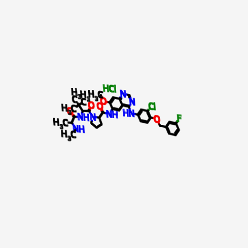 CNC(C)C(=O)NC(C(=O)N1CCCC1C(=O)Nc1cc2c(Nc3ccc(OCc4cccc(F)c4)c(Cl)c3)ncnc2cc1OC)C(C)(C)C.Cl